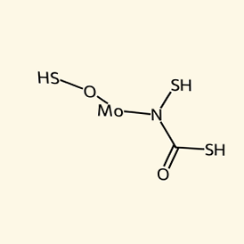 O=C(S)[N](S)[Mo][O]S